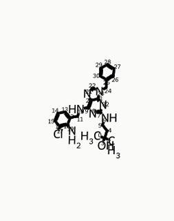 CC(C)(O)CCNc1nc(NCc2cccc(Cl)c2N)c2ncn(Cc3ccccc3)c2n1